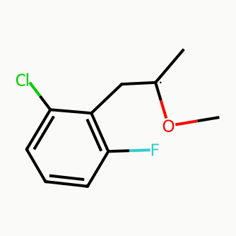 CO[C](C)Cc1c(F)cccc1Cl